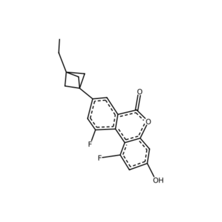 CCC12CC(c3cc(F)c4c(c3)c(=O)oc3cc(O)cc(F)c34)(C1)C2